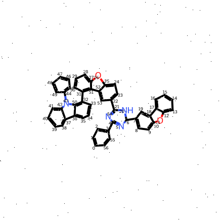 c1ccc(C2=NC(c3ccc4oc5ccccc5c4c3)NC(c3ccc4oc5cccc(-c6cccc7c8ccccc8n(-c8ccccc8)c67)c5c4c3)=N2)cc1